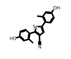 Cc1cc(O)ccc1-c1cc(C#N)c(-c2ccc(O)cc2C)[se]1